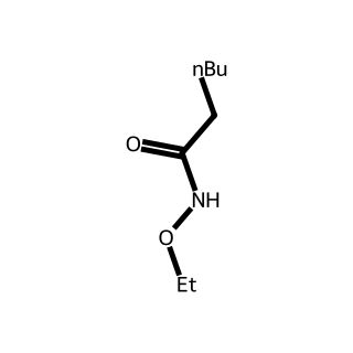 CCCCCC(=O)NOCC